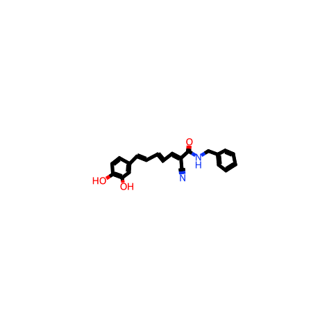 N#C\C(=C/C=C/C=C/c1ccc(O)c(O)c1)C(=O)NCc1ccccc1